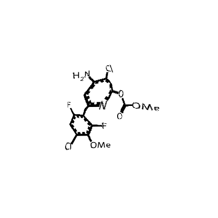 COC(=O)Oc1nc(-c2c(F)cc(Cl)c(OC)c2F)cc(N)c1Cl